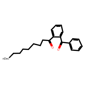 CCCCCCCCCCCCCCCCCC(=O)c1ccccc1C(=O)c1ccccc1